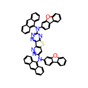 c1ccc2c(N(c3ccc4c(c3)oc3ccccc34)c3cc4sc5nc(N(c6ccc7c(c6)oc6ccccc67)c6c7ccccc7cc7ccccc67)nnc5c4nn3)c3ccccc3cc2c1